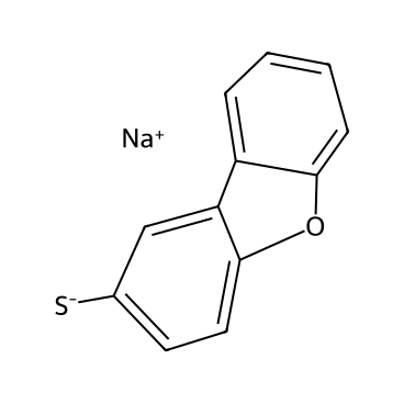 [Na+].[S-]c1ccc2oc3ccccc3c2c1